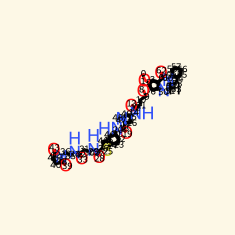 COc1cc2c(cc1OCCCC(=O)Nc1cc(C(=O)Nc3ccc4sc(C(=O)NCCC(=O)NCCN5C(=O)C=CC5=O)cc4c3)n(C)c1)N=C[C@@H]1Cc3ccccc3N1C2=O